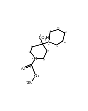 CC(C)(C)OC(=O)N1CCC(C(=O)O)(N2CCCCC2)CC1